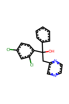 OC(Cc1cnccn1)(c1ccccc1)c1ccc(Cl)cc1Cl